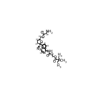 CC(C)(C)C(=O)OCOC(=O)Nc1ncnn2c([C@@]3(C#N)CC[C@@H](COC(=O)CN)O3)ccc12